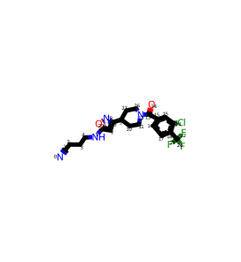 N#CCCCNc1cc(C2CCN(C(=O)c3ccc(C(F)(F)F)c(Cl)c3)CC2)no1